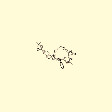 Cc1cc2cc(n1)-c1cnn(C)c1OCCCCCn1c(nc3ccc4c(c31)CCN(C(=O)OC(C)(C)C)C4)NC2=O